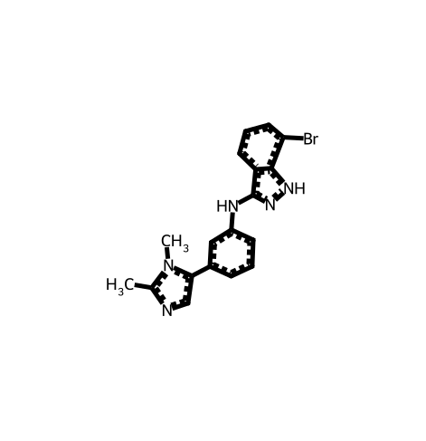 Cc1ncc(-c2cccc(Nc3n[nH]c4c(Br)cccc34)c2)n1C